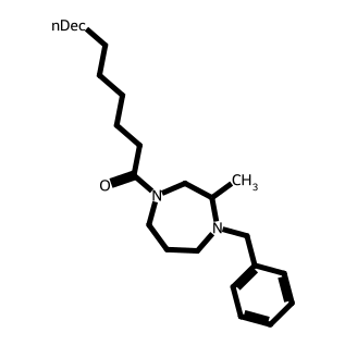 CCCCCCCCCCCCCCCC(=O)N1CCCN(Cc2ccccc2)C(C)C1